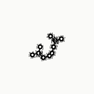 c1ccc(-c2cc(-c3ccccc3)nc(-c3cccc(-c4ccc5ccc(-c6ccc(-c7nc(-c8ccccc8)nc(-c8ccccc8)n7)cc6)cc5c4)c3)n2)cc1